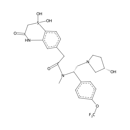 CN(C(=O)Cc1ccc2c(c1)NC(=O)CS2(O)O)[C@H](CN1CC[C@H](O)C1)c1ccc(OC(F)(F)F)cc1